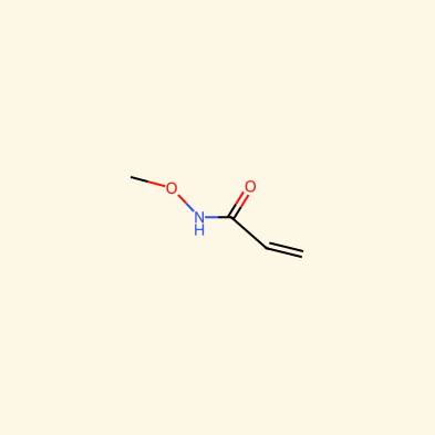 C=CC(=O)NOC